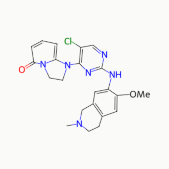 COc1cc2c(cc1Nc1ncc(Cl)c(N3CCn4c3cccc4=O)n1)CN(C)CC2